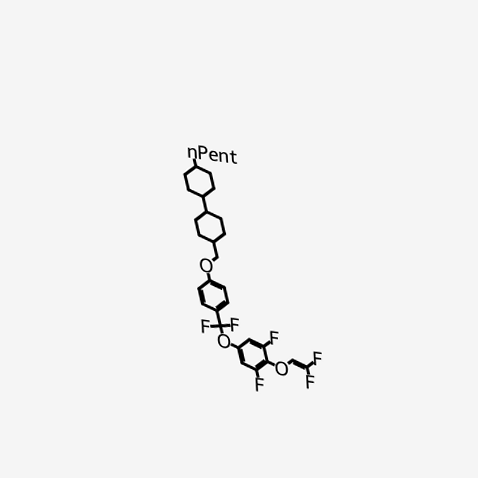 CCCCCC1CCC(C2CCC(COc3ccc(C(F)(F)Oc4cc(F)c(OC=C(F)F)c(F)c4)cc3)CC2)CC1